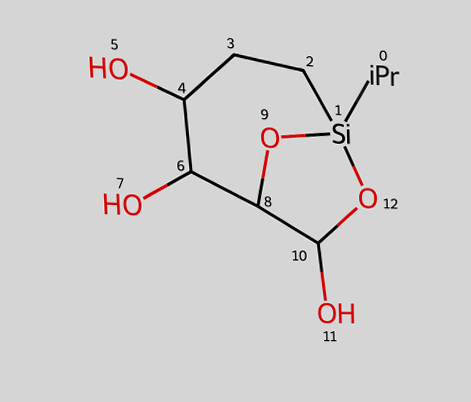 CC(C)[Si]12CCC(O)C(O)C(O1)C(O)O2